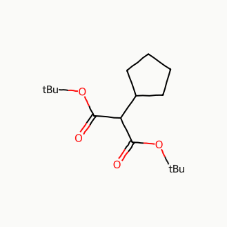 CC(C)(C)OC(=O)C(C(=O)OC(C)(C)C)C1CCCC1